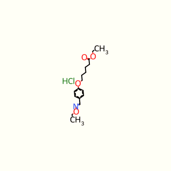 CCO/N=C/c1ccc(OCCCCCC(=O)OCC)cc1.Cl